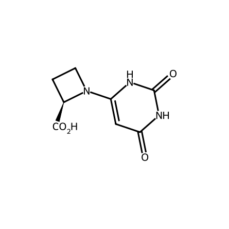 O=C(O)[C@H]1CCN1c1cc(=O)[nH]c(=O)[nH]1